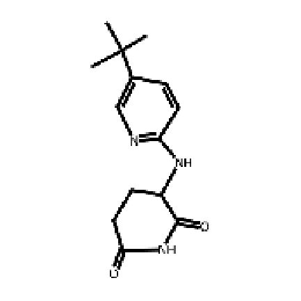 CC(C)(C)c1ccc(NC2CCC(=O)NC2=O)nc1